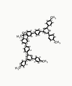 Cc1ccc(-c2nc(-c3ccc(C)cc3)nc(-c3ccc(-c4ccc5c(c4)-c4cc(-c6ccc(-c7nc(-c8ccc(C)cc8)nc(-c8ccc(C)cc8)n7)cc6)ccc4C5(C)C)cc3)n2)cc1